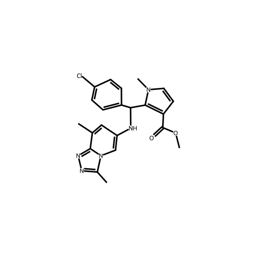 COC(=O)c1ccn(C)c1C(Nc1cc(C)c2nnc(C)n2c1)c1ccc(Cl)cc1